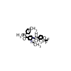 CC/N=C1/C=C(C(=O)N(C)C2CCN(C)CC2)C=C/C1=C(/C)Nc1ccc(OC(F)(F)F)cc1